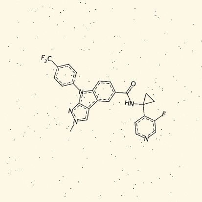 Cn1cc2c3cc(C(=O)NC4(c5ccncc5F)CC4)ccc3n(-c3ccc(C(F)(F)F)cc3)c2n1